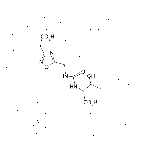 CC(O)C(NC(=O)NCc1nc(CC(=O)O)no1)C(=O)O